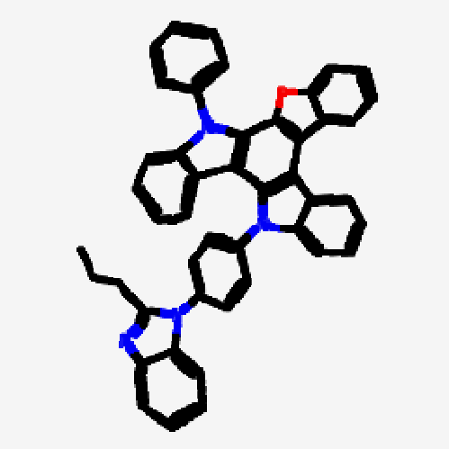 CCCc1nc2ccccc2n1-c1ccc(-n2c3ccccc3c3c4c5ccccc5oc4c4c(c5ccccc5n4-c4ccccc4)c32)cc1